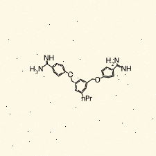 CCCc1cc(COc2ccc(C(=N)N)cc2)cc(COc2ccc(C(=N)N)cc2)c1